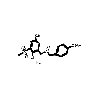 COc1ccc(CNCc2cc(C(C)(C)C)cc(S(C)(=O)=O)c2O)cc1.Cl